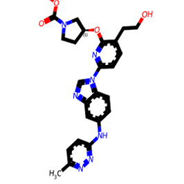 Cc1ccc(Nc2ccc3c(c2)ncn3-c2ccc(CCO)c(O[C@H]3CCN(C(=O)OC(C)(C)C)C3)n2)nn1